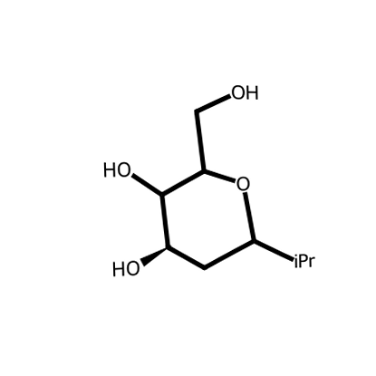 CC(C)C1C[C@@H](O)C(O)C(CO)O1